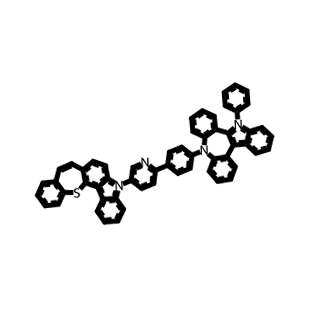 C1=Cc2ccc3c(c2Sc2ccccc21)c1ccccc1n3-c1ccc(-c2ccc(N3c4ccccc4-c4c(n(-c5ccccc5)c5ccccc45)-c4ccccc43)cc2)nc1